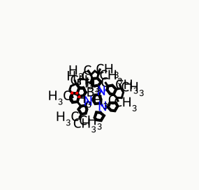 Cc1cc2c(cc1N1c3cc4c(cc3B3c5cc6c(cc5N(c5ccc(C(C)(C)C)cc5-c5ccccc5)c5cc(N(c7ccccc7)c7ccccc7)cc1c53)C(C)(C)CCC6(C)C)C(C)(C)CC4(C)C)C(C)(C)CCC2(C)C